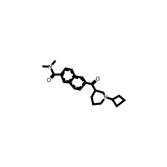 CN(C)C(=O)c1ccc2cc(C(=O)C3CCCN(C4CCC4)C3)ccc2c1